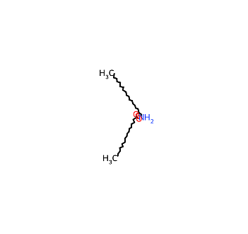 CCCCCCCCCCCCCCCCCCC(CN)OC(=O)CCCCCCCCCCCCCCCCC